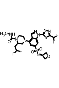 CNC(=O)N1CCN(c2cc(S(=O)(=O)N=C3COC3)cc3c2cnn3-c2nnc(C(F)F)s2)CC1CC(F)F